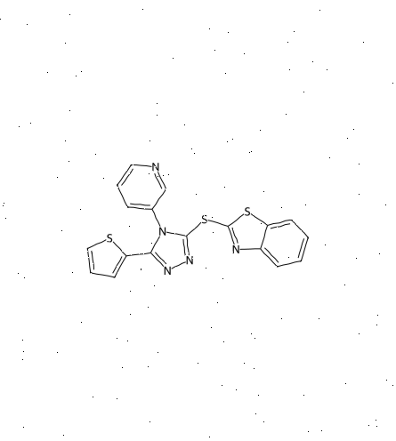 c1cncc(-n2c(Sc3nc4ccccc4s3)nnc2-c2cccs2)c1